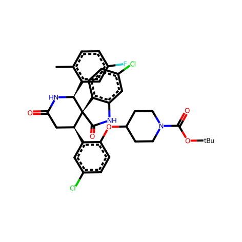 Cc1ccc(F)cc1[C@@H]1NC(=O)C[C@H](c2cc(Cl)ccc2OC2CCN(C(=O)OC(C)(C)C)CC2)[C@@]12C(=O)Nc1cc(Cl)ccc12